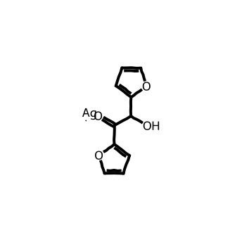 O=C(c1ccco1)C(O)c1ccco1.[Ag]